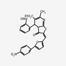 CCOC(=O)C1=C(C)N=c2s/c(=C/c3ccc(-c4ccc([N+](=O)[O-])cc4)o3)c(=O)n2C1c1ccccc1OC